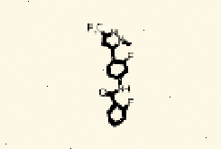 Cn1nc(C(F)(F)F)cc1-c1ccc(NC(=O)c2ccccc2F)cc1F